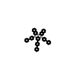 c1ccc(-c2ccc(-c3cc4c5c(c3)N(c3ccc(-c6ccccc6)cc3)c3cc6ccccc6cc3B5c3cc5ccccc5cc3N4c3ccc(-c4ccccc4)cc3)cc2)cc1